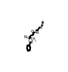 CC(C#N)(CCC(=O)NCCCN=[N+]=[N-])SC(=S)c1ccccc1